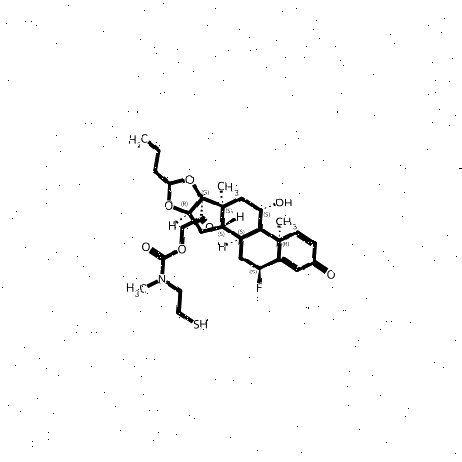 CCCC1O[C@@H]2C[C@H]3[C@@H]4C[C@H](F)C5=CC(=O)C=C[C@]5(C)C4[C@@H](O)C[C@]3(C)[C@]2(C(=O)COC(=O)N(C)CCS)O1